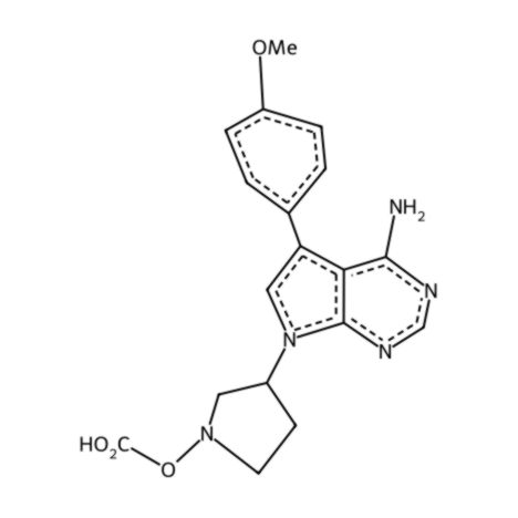 COc1ccc(-c2cn(C3CCN(OC(=O)O)C3)c3ncnc(N)c23)cc1